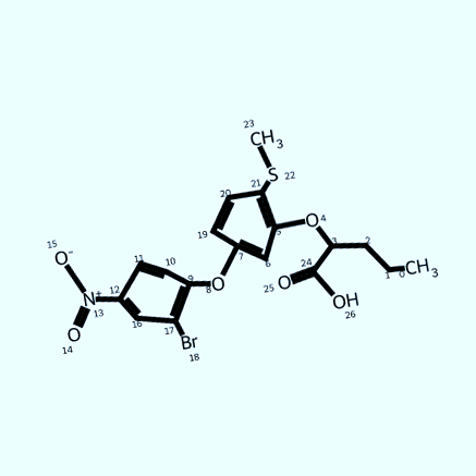 CCCC(Oc1cc(Oc2ccc([N+](=O)[O-])cc2Br)ccc1SC)C(=O)O